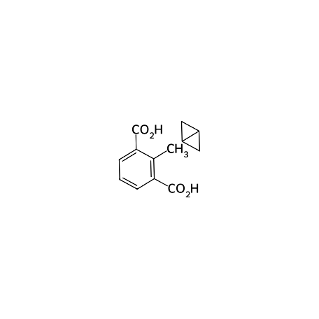 C1C2CC12.Cc1c(C(=O)O)cccc1C(=O)O